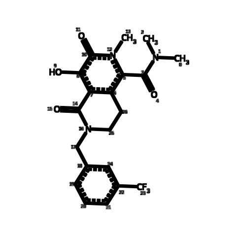 CN(C)C(=O)c1c2c(c(O)c(=O)n1C)C(=O)N(Cc1cccc(C(F)(F)F)c1)CC2